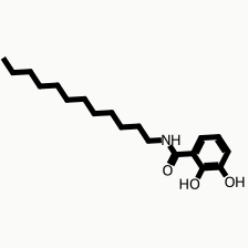 CCCCCCCCCCCCNC(=O)c1cccc(O)c1O